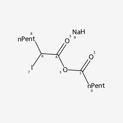 CCCCCC(=O)OC(=O)C(I)CCCCC.[NaH]